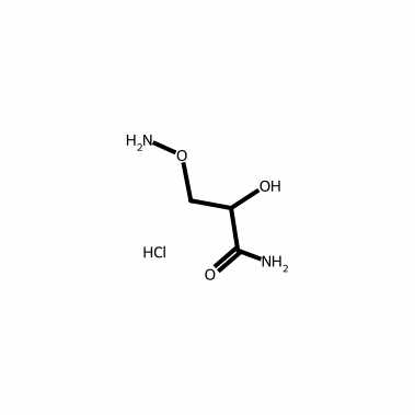 Cl.NOCC(O)C(N)=O